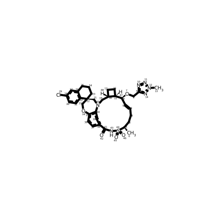 C[C@@H]1CC/C=C/[C@H](OCc2nnn(C)n2)[C@@H]2CC[C@H]2CN2C[C@@]3(CCCc4cc(Cl)ccc43)COc3ccc(cc32)C(=O)NS1(=O)=O